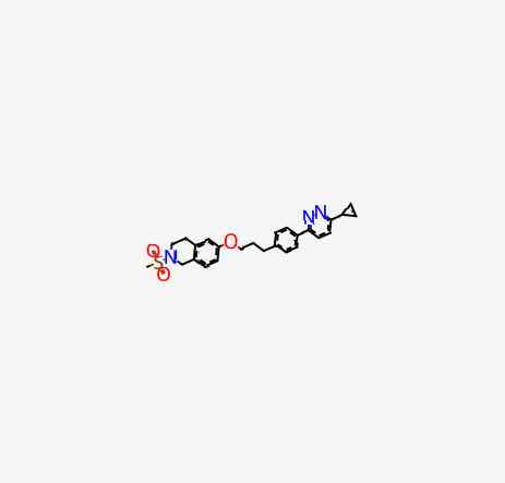 CS(=O)(=O)N1CCc2cc(OCCCc3ccc(-c4ccc(C5CC5)nn4)cc3)ccc2C1